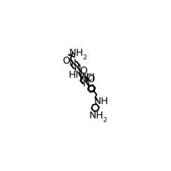 CC(C)(N)C(=O)N1CCN(C(=O)Nc2ccn(-c3ccc(CCN[C@H]4CC[C@@H](N)CC4)cc3)c(=O)n2)CC1.Cl